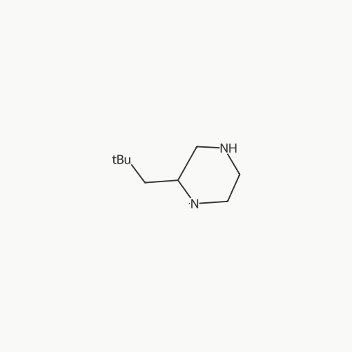 CC(C)(C)CC1CNCC[N]1